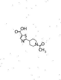 CC(=O)N1CCC(c2ncc(C(=O)O)s2)CC1